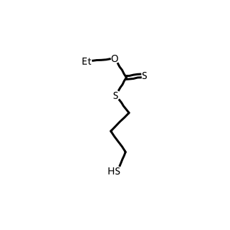 CCOC(=S)SCCCS